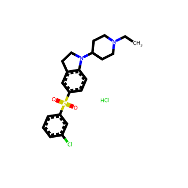 CCN1CCC(N2CCc3cc(S(=O)(=O)c4cccc(Cl)c4)ccc32)CC1.Cl